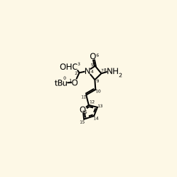 CC(C)(C)OC(C=O)N1C(=O)C(N)C1C=Cc1ccco1